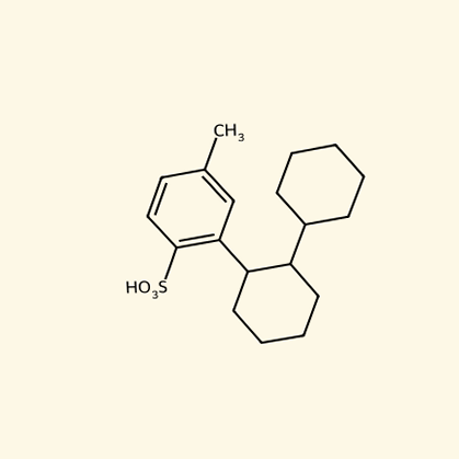 Cc1ccc(S(=O)(=O)O)c(C2CCCCC2C2CCCCC2)c1